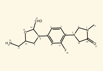 CN1CN(c2ccc(N3CC(CN)OC3C=O)cc2F)CC1=O